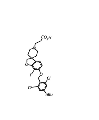 CCCCc1cc(Cl)c(COc2ccc3c(c2F)OCC32CCN(CCC(=O)O)CC2)c(Cl)c1